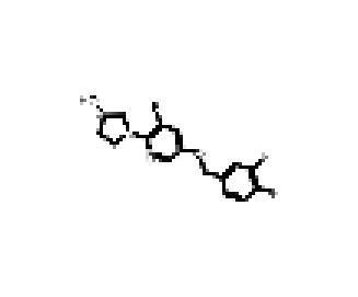 O[C@@H]1CCN(c2ncc(OCc3ccc(F)c(F)c3)cc2F)C1